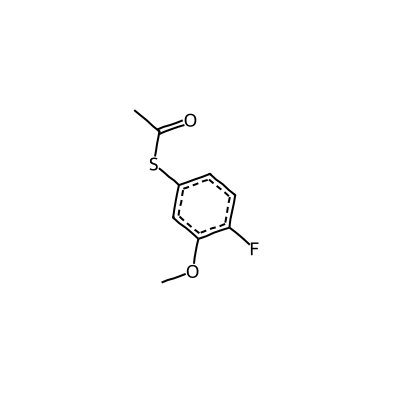 COc1cc(SC(C)=O)ccc1F